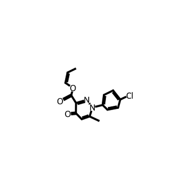 C/C=C\OC(=O)c1nn(-c2ccc(Cl)cc2)c(C)cc1=O